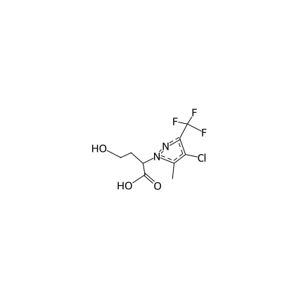 Cc1c(Cl)c(C(F)(F)F)nn1C(CCO)C(=O)O